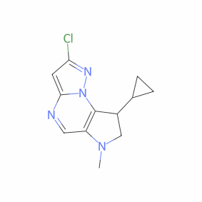 CN1CC(C2CC2)c2c1cnc1cc(Cl)nn21